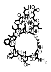 CCC(C)C(N)C1=NC(C(=O)NC(CC(C)C)C(=O)NC(CCC(=O)O)C(=O)NC(C(=O)NC2CCCCNC(=O)C(CC(N)=O)NC(=O)C(CC(=O)O)NC(=O)C(CC3C=NC=N3)NC(=O)C(Cc3ccccc3)NC(=O)C(C(C)CC)NC(=O)C(CCCN)NC2=O)C(C)CC)CS1